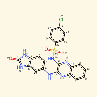 O=c1[nH]c2ccc(Nc3nc4ccccc4nc3NS(=O)(=O)c3ccc(Cl)cc3)cc2[nH]1